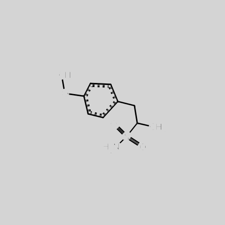 COc1ccc(CC(C)S(N)(=O)=O)cc1